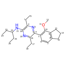 CCc1nc(-c2ccc3c(c2OC)CCC3)c(CC)nc1NC(CC)CC